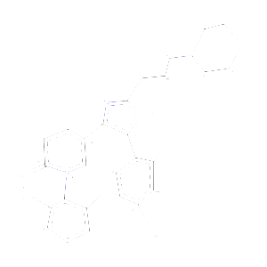 Cc1cccc(C)c1-n1cc(-c2nc(CCCN3CCOCC3)oc2-c2ccc(F)cc2F)ccc1=O